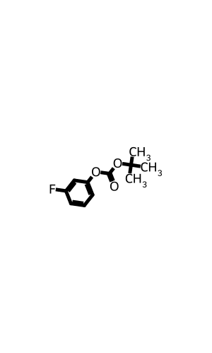 CC(C)(C)OC(=O)Oc1cccc(F)c1